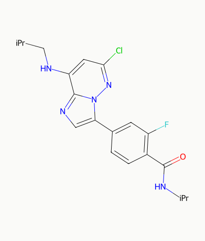 CC(C)CNc1cc(Cl)nn2c(-c3ccc(C(=O)NC(C)C)c(F)c3)cnc12